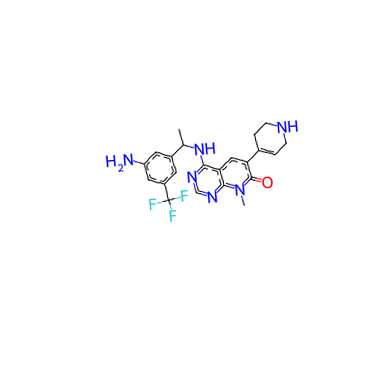 CC(Nc1ncnc2c1cc(C1=CCNCC1)c(=O)n2C)c1cc(N)cc(C(F)(F)F)c1